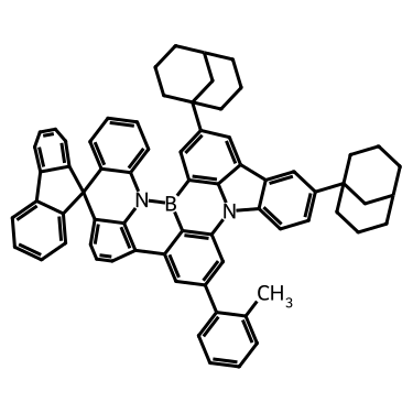 Cc1ccccc1-c1cc2c3c(c1)-n1c4ccc(C56CCCC(CCC5)C6)cc4c4cc(C56CCCC(CCC5)C6)cc(c41)B3N1c3ccccc3C3(c4ccccc4-c4ccccc43)c3cccc-2c31